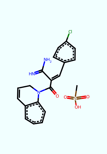 CS(=O)(=O)O.N=C(N)C(=Cc1ccc(Cl)cc1)C(=O)N1CC=Cc2ccccc21